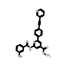 COC(=O)c1cc(NC(=O)c2cccc(O)c2)nc(-c2ccc(C#Cc3cccnc3)cc2)c1